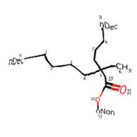 CCCCCCCCCCCCCCC(C)(CCCCCCCCCCCC)C(=O)OCCCCCCCCC